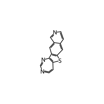 C1=Cc2sc3cc4ccncc4cc3c2N=CN=1